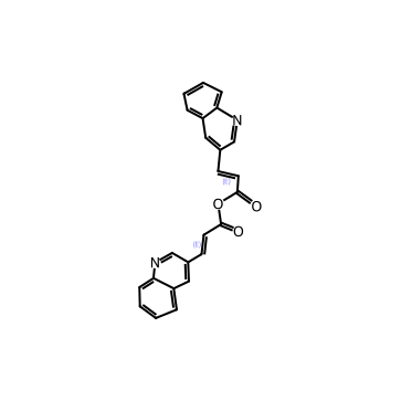 O=C(/C=C/c1cnc2ccccc2c1)OC(=O)/C=C/c1cnc2ccccc2c1